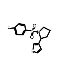 O=S(=O)(c1ccc(F)cc1)N1CCCC1c1ccsc1